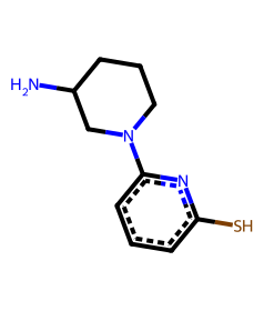 NC1CCCN(c2cccc(S)n2)C1